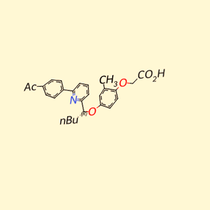 CCCC[C@@H](Oc1ccc(OCC(=O)O)c(C)c1)c1cccc(-c2ccc(C(C)=O)cc2)n1